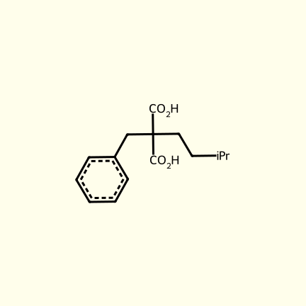 CC(C)CCC(Cc1ccccc1)(C(=O)O)C(=O)O